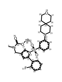 CN(Cc1cc(-c2ccccc2F)n(S(=O)(=O)c2cccc(N3CCC4(CCOCC4)CC3)c2)c1)C(=O)OC(C)(C)C